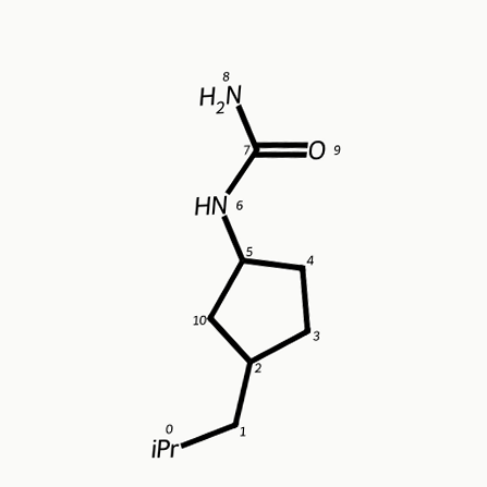 CC(C)CC1CCC(NC(N)=O)C1